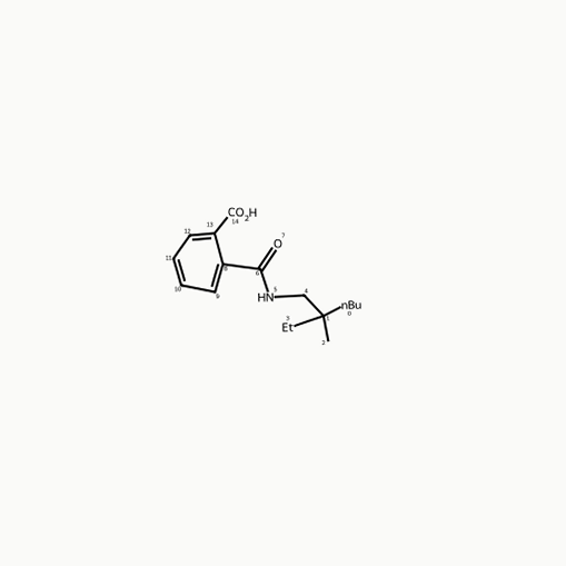 CCCCC(C)(CC)CNC(=O)c1ccccc1C(=O)O